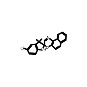 CC1(C)c2cc(Cl)ccc2NC12C=Nc1c(ccc3ccccc13)O2